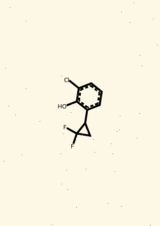 Oc1c(Cl)cccc1C1CC1(F)F